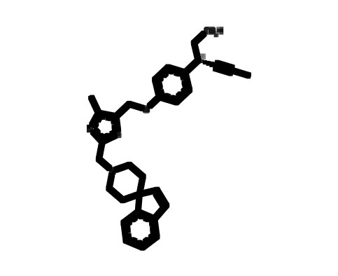 CC#C[C@@H](CC(=O)O)c1ccc(OCc2sc(CN3CCC4(C=Cc5ccccc54)CC3)nc2C)cc1